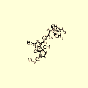 CN1CCC(O)(c2nc(Br)nn2COCC[Si](C)(C)C)C1=O